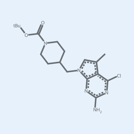 Cc1cn(CC2CCN(C(=O)OC(C)(C)C)CC2)c2nc(N)nc(Cl)c12